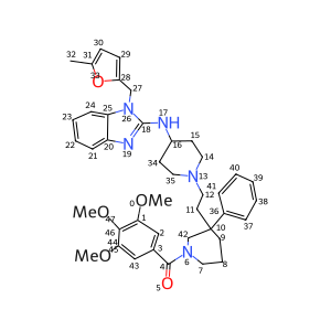 COc1cc(C(=O)N2CCCC(CCN3CCC(Nc4nc5ccccc5n4Cc4ccc(C)o4)CC3)(c3ccccc3)C2)cc(OC)c1OC